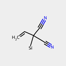 C=CC([Si])(C#N)C#N